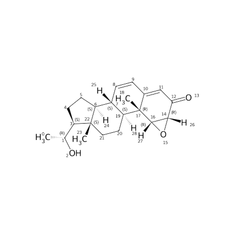 C[C@@H](O)[C@H]1CC[C@H]2[C@@H]3C=CC4=CC(=O)[C@@H]5O[C@@H]5[C@]4(C)[C@H]3CC[C@]12C